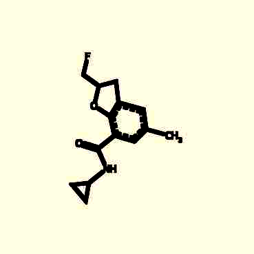 Cc1cc2c(c(C(=O)NC3CC3)c1)OC(CF)C2